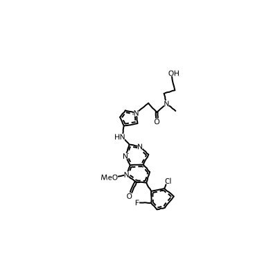 COn1c(=O)c(-c2c(F)cccc2Cl)cc2cnc(Nc3ccn(CC(=O)N(C)CCO)c3)nc21